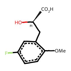 COc1ccc(F)cc1C[C@@H](O)C(=O)O